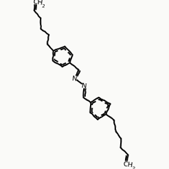 C=CCCCCc1ccc(C=NN=Cc2ccc(CCCCC=C)cc2)cc1